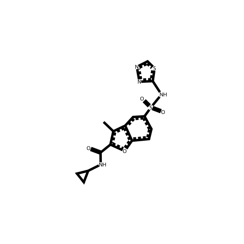 Cc1c(C(=O)NC2CC2)oc2ccc(S(=O)(=O)Nc3nncs3)cc12